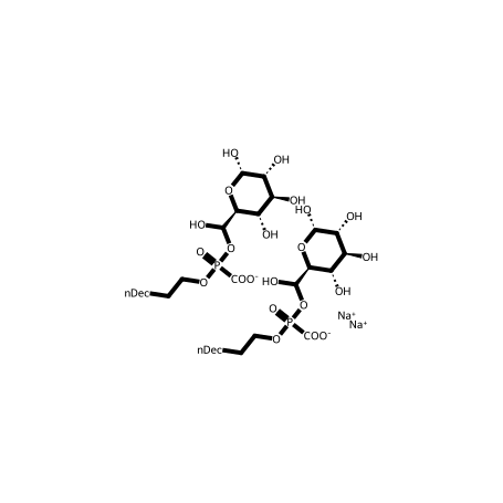 CCCCCCCCCCCCOP(=O)(OC(O)[C@H]1O[C@H](O)[C@H](O)[C@@H](O)[C@@H]1O)C(=O)[O-].CCCCCCCCCCCCOP(=O)(OC(O)[C@H]1O[C@H](O)[C@H](O)[C@@H](O)[C@@H]1O)C(=O)[O-].[Na+].[Na+]